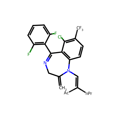 C=C1CN=C(c2c(F)cccc2F)c2c(ccc(C(F)(F)F)c2Cl)N1/C=C(/CCC)C(C)=O